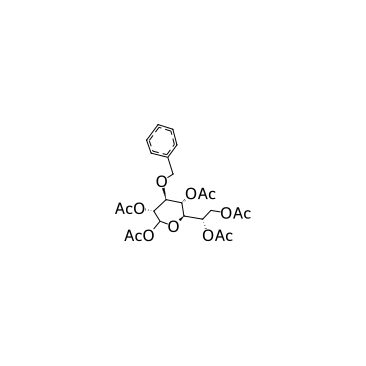 CC(=O)OC[C@H](OC(C)=O)[C@H]1OC(OC(C)=O)[C@H](OC(C)=O)[C@@H](OCc2ccccc2)[C@@H]1OC(C)=O